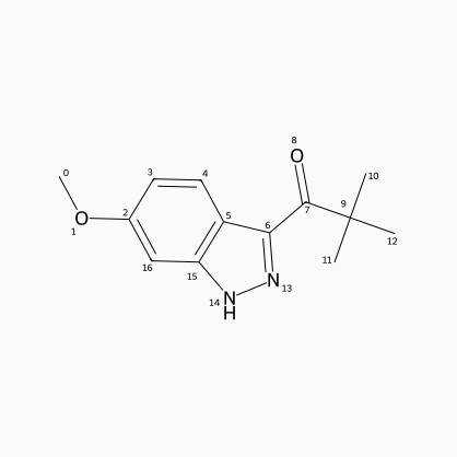 COc1ccc2c(C(=O)C(C)(C)C)n[nH]c2c1